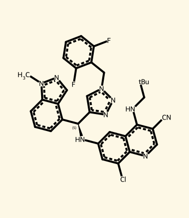 Cn1ncc2c([C@H](Nc3cc(Cl)c4ncc(C#N)c(NCC(C)(C)C)c4c3)c3cn(Cc4c(F)cccc4F)nn3)cccc21